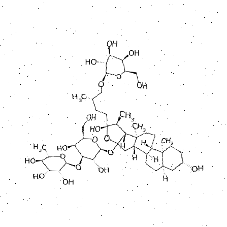 C[C@@H](CC[C@@]1(O)OC2(O[C@@H]3O[C@H](CO)[C@H](O)[C@H](O[C@@H]4O[C@@H](C)[C@H](O)[C@@H](O)[C@H]4O)[C@H]3O)C[C@H]3[C@@H]4CC[C@@H]5C[C@@H](O)CC[C@]5(C)[C@H]4CC[C@]3(C)[C@H]2[C@@H]1C)CO[C@@H]1O[C@H](CO)[C@H](O)[C@H](O)[C@H]1O